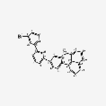 Brc1cccc(-c2cccc(-c3ccc4c(c3)Oc3ccnc5cccc-4c35)c2)c1